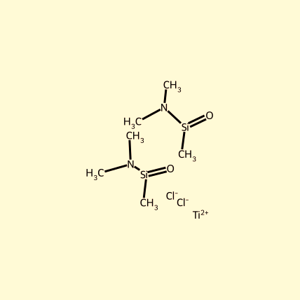 CN(C)[Si](C)=O.CN(C)[Si](C)=O.[Cl-].[Cl-].[Ti+2]